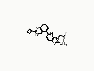 Cc1nc2ccc(C3=CCCc4nc(C5CCC5)ncc43)nc2n1CC(F)F